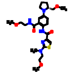 COCCNC(=O)c1cc(N2CCC[C@@H]2COC)ccc1NC(=O)c1csc(N(C)CCOC)n1